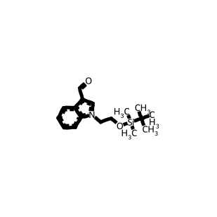 CC(C)(C)[Si](C)(C)OCCn1cc(C=O)c2ccccc21